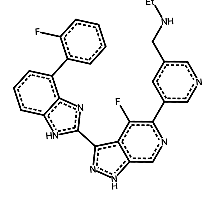 CCNCc1cncc(-c2ncc3[nH]nc(-c4nc5c(-c6ccccc6F)cccc5[nH]4)c3c2F)c1